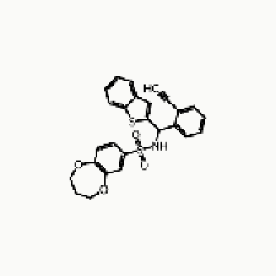 C#Cc1ccccc1C(NS(=O)(=O)c1ccc2c(c1)OCCCO2)c1cc2ccccc2s1